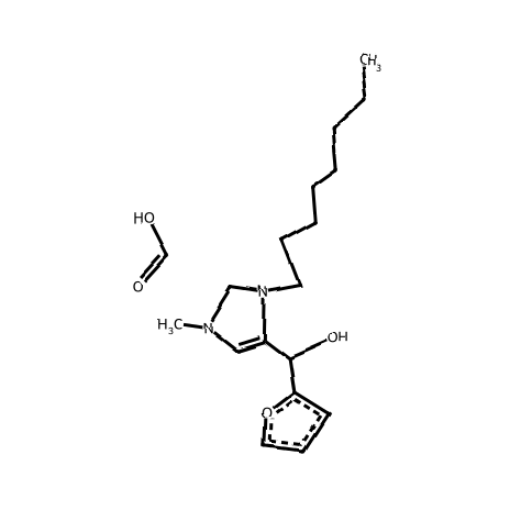 CCCCCCCCN1CN(C)C=C1C(O)c1ccco1.O=CO